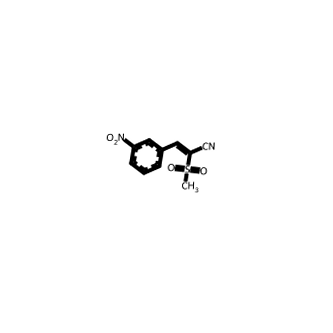 CS(=O)(=O)C(C#N)=Cc1cccc([N+](=O)[O-])c1